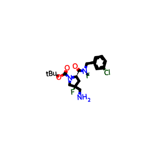 CC(C)(C)OC(=O)N1C[C@@](F)(CN)C[C@H]1C(=O)N(F)Cc1cccc(Cl)c1